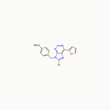 COc1ccc(Cn2c(Br)nc3c(-c4ccco4)ncnc32)cc1